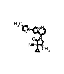 Cc1cnn(-c2cc3c(N4C[C@@H](C)[C@@](C#N)(C5CC5)C4=O)ccnn3c2)c1